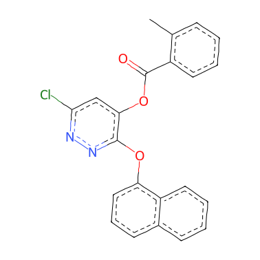 Cc1ccccc1C(=O)Oc1cc(Cl)nnc1Oc1cccc2ccccc12